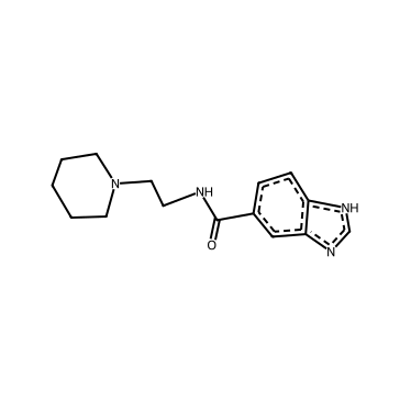 O=C(NCCN1CCCCC1)c1ccc2[nH]cnc2c1